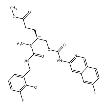 COC(=O)CC[C@@H](COC(=O)Nc1cc2cc(F)ccc2cn1)N(C)C(=O)NCc1cccc(F)c1Cl